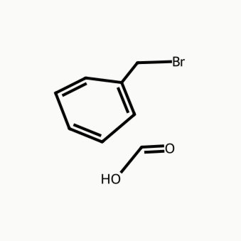 BrCc1ccccc1.O=CO